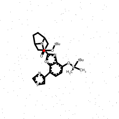 CC(C)(C)OC(=O)N1C2CCC1CN(c1nc3c(O[Si](C)(C)C(C)(C)C)ccc(-c4cscn4)c3o1)C2